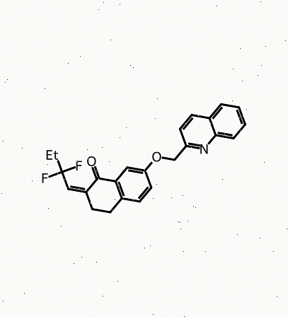 CCC(F)(F)C=C1CCc2ccc(OCc3ccc4ccccc4n3)cc2C1=O